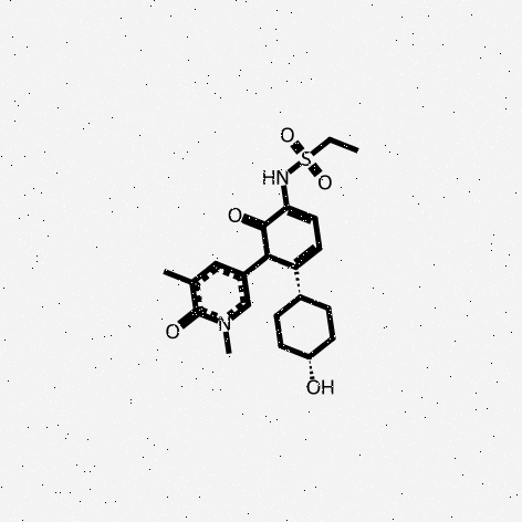 CCS(=O)(=O)NC1=CC=C([C@H]2CC[C@@H](O)CC2)C(c2cc(C)c(=O)n(C)c2)C1=O